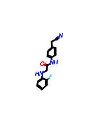 N#CCc1ccc(NC(=O)CNc2ccccc2F)cc1